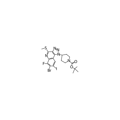 CSc1nc2c(F)c(Br)c(I)cc2c2c1nnn2C1CCN(C(=O)OC(C)(C)C)CC1